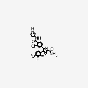 COc1ccc(-c2c(-c3ccc(C(=O)NC4CCNC4)c(Cl)c3)nc(C(N)=O)n2C)c(F)c1F